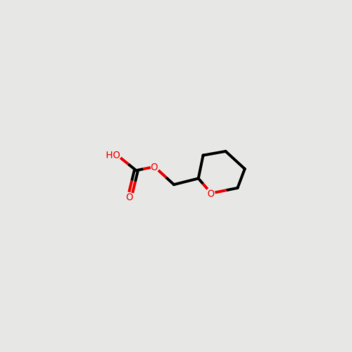 O=C(O)OCC1CCCCO1